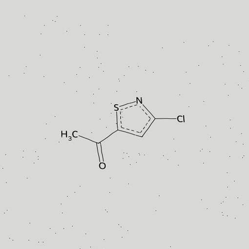 CC(=O)c1cc(Cl)ns1